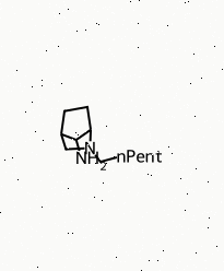 CCCCCCN1CC2CCC1C2N